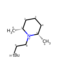 C[C@@H]1CCC[C@H](C)N1CCC(C)(C)C